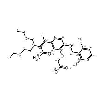 CCOCCC(COCC)C(C(N)=O)=C(C)c1ccc(OCc2c(F)cccc2F)c(OCC(=O)O)c1